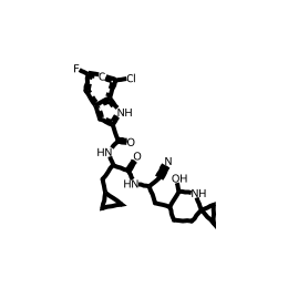 N#CC(CC1CCC2(CC2)NC1O)NC(=O)C(CC1CC1)NC(=O)c1cc2cc(F)cc(Cl)c2[nH]1